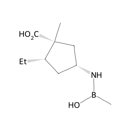 CC[C@H]1C[C@@H](NB(C)O)C[C@@]1(C)C(=O)O